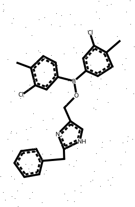 Cc1ccc(B(OCc2c[nH]c(Cc3ccccc3)n2)c2ccc(C)c(Cl)c2)cc1Cl